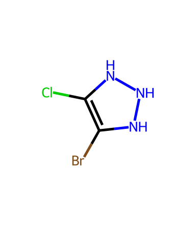 ClC1=C(Br)NNN1